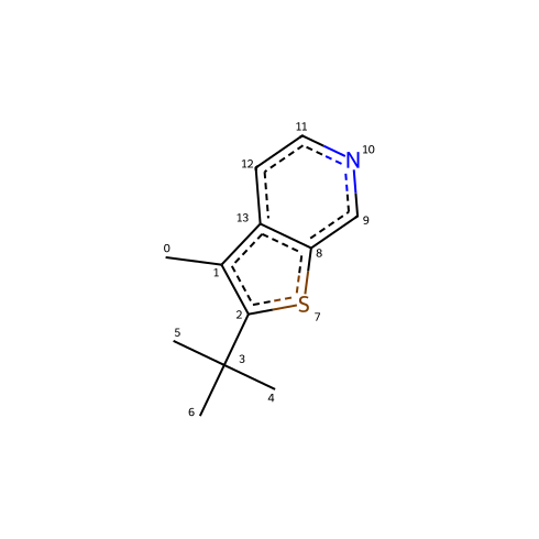 Cc1c(C(C)(C)C)sc2cnccc12